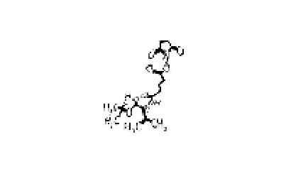 CC(C)[C@H](NC(=O)CCCC(=O)ON1C(=O)CCC1=O)C(=O)OC(C)(C)C